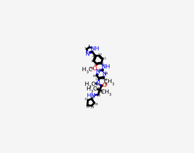 COc1cc(C2=NCCN2)ccc1Nc1ncc(N(C)C(=O)C(C)(C)CNC2CCCC2)c(C)n1